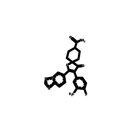 Cc1cc(C2=C(c3ccc4ncnn4c3)OC3(CCC(C(N)=O)CC3)C2=O)ccc1F